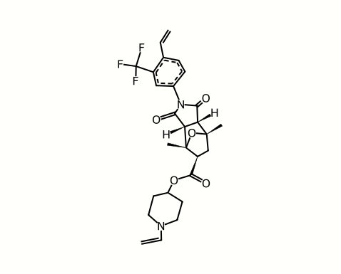 C=Cc1ccc(N2C(=O)[C@@H]3[C@H](C2=O)[C@]2(C)C[C@@H](C(=O)OC4CCN(C=C)CC4)[C@@]3(C)O2)cc1C(F)(F)F